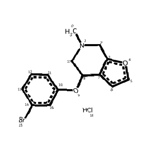 CN1Cc2occc2C(Oc2cccc(Br)c2)C1.Cl